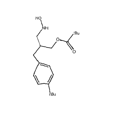 CCCCc1ccc(CC(CNO)COC(=O)C(C)(C)C)cc1